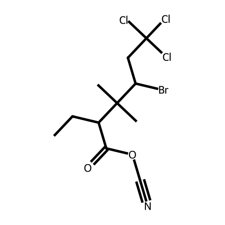 CCC(C(=O)OC#N)C(C)(C)C(Br)CC(Cl)(Cl)Cl